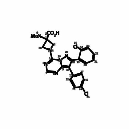 CNC1(C(=O)O)CN(c2ncnc3c(-c4ccc(Cl)cc4)c(-c4ccccc4Cl)nn23)C1